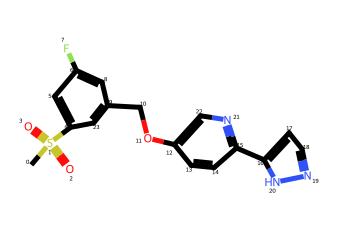 CS(=O)(=O)c1cc(F)cc(COc2ccc(-c3ccn[nH]3)nc2)c1